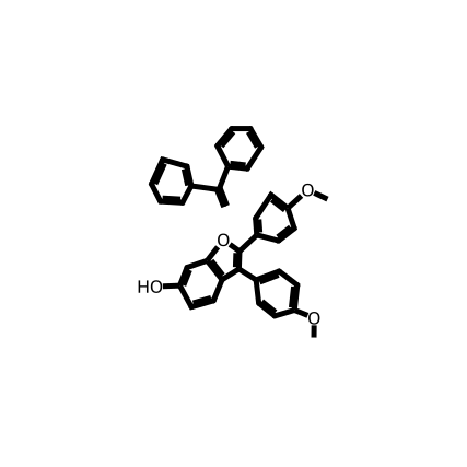 C=C(c1ccccc1)c1ccccc1.COc1ccc(-c2oc3cc(O)ccc3c2-c2ccc(OC)cc2)cc1